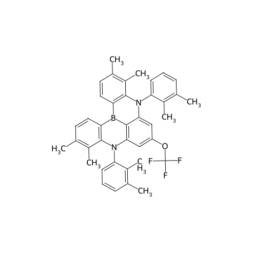 Cc1cccc(N2c3cc(OC(F)(F)F)cc4c3B(c3ccc(C)c(C)c32)c2ccc(C)c(C)c2N4c2cccc(C)c2C)c1C